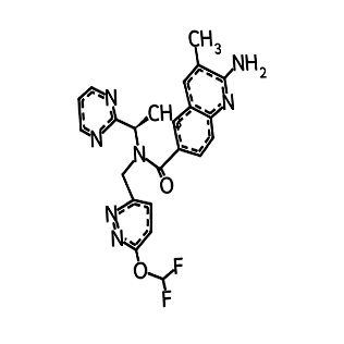 Cc1cc2cc(C(=O)N(Cc3ccc(OC(F)F)nn3)[C@H](C)c3ncccn3)ccc2nc1N